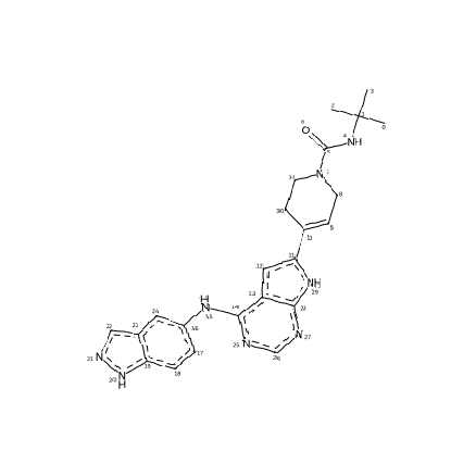 CC(C)(C)NC(=O)N1CC=C(c2cc3c(Nc4ccc5[nH]ncc5c4)ncnc3[nH]2)CC1